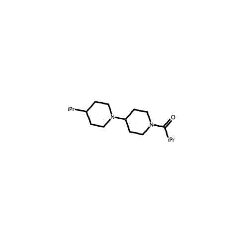 CC(C)C(=O)N1CCC(N2CCC(C(C)C)CC2)CC1